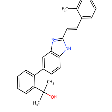 CC(C)(O)c1ccccc1-c1ccc2[nH]c(C=Cc3ccccc3C(F)(F)F)nc2c1